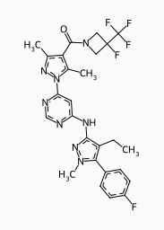 CCc1c(Nc2cc(-n3nc(C)c(C(=O)N4CC(F)(C(F)(F)F)C4)c3C)ncn2)nn(C)c1-c1ccc(F)cc1